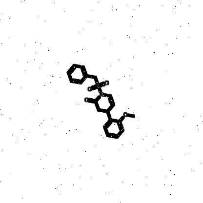 COc1ccccc1C1C=CN(S(=O)(=O)Cc2ccccc2)C(=O)C1